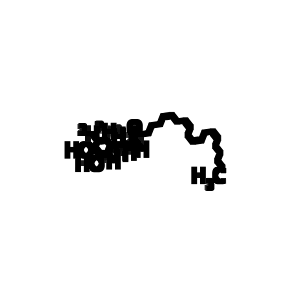 [2H]c1c([2H])c(C([2H])([2H])C([2H])([2H])N([2H])C(=O)CCC/C=C\C/C=C\C/C=C\C/C=C\CCCCC)c([2H])c(O)c1O